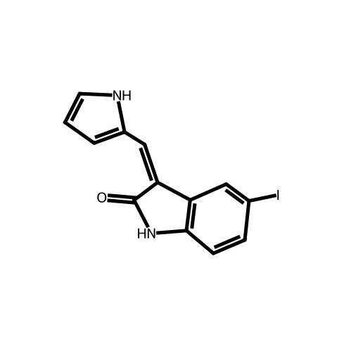 O=C1Nc2ccc(I)cc2C1=Cc1ccc[nH]1